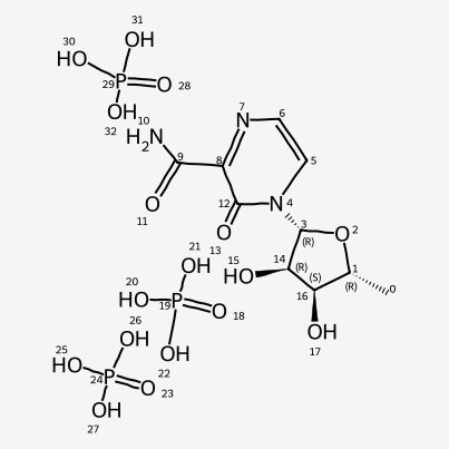 C[C@H]1O[C@@H](n2ccnc(C(N)=O)c2=O)[C@H](O)[C@@H]1O.O=P(O)(O)O.O=P(O)(O)O.O=P(O)(O)O